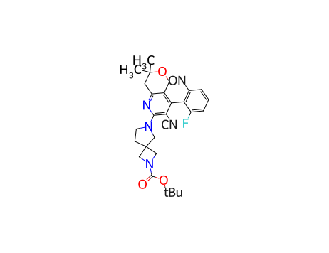 CC(C)(C)OC(=O)N1CC2(CCN(c3nc4c(c(-c5c(F)cccc5N=O)c3C#N)COC(C)(C)C4)C2)C1